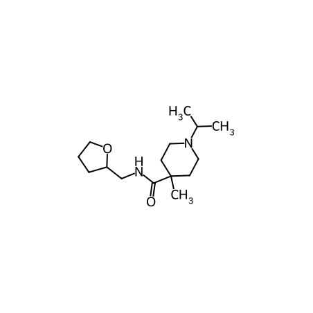 CC(C)N1CCC(C)(C(=O)NCC2CCCO2)CC1